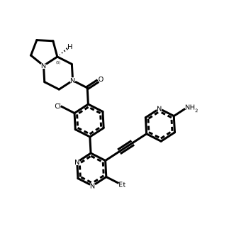 CCc1ncnc(-c2ccc(C(=O)N3CCN4CCC[C@H]4C3)c(Cl)c2)c1C#Cc1ccc(N)nc1